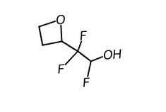 OC(F)C(F)(F)C1CCO1